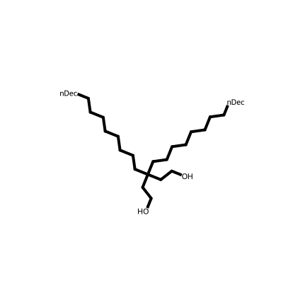 CCCCCCCCCCCCCCCCCCC(CCO)(CCO)CCCCCCCCCCCCCCCCCC